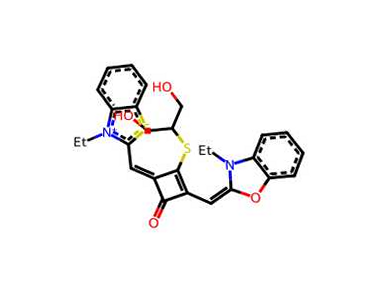 CCN1/C(=C\C2=C(SC(CO)CO)C(=C\c3sc4ccccc4[n+]3CC)/C2=O)Oc2ccccc21